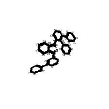 c1ccc(-c2cccc(-c3sc(-c4cccc(-c5ccccc5)c4-c4ccccc4)c4ccccc34)c2)cc1